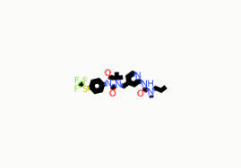 CCCN(C)C(=O)Nc1cc(CN2C(=O)N(c3ccc(SC(F)(F)F)cc3)C(=O)C2(C)C)ccn1